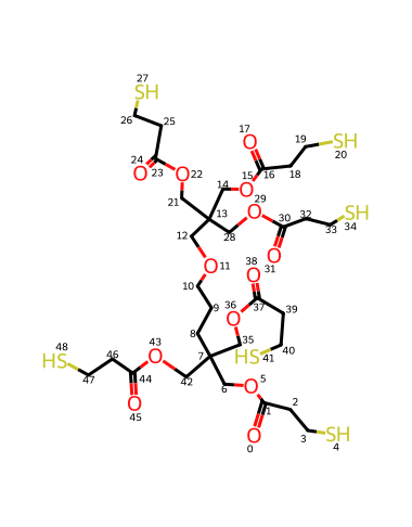 O=C(CCS)OCC(CCCOCC(COC(=O)CCS)(COC(=O)CCS)COC(=O)CCS)(COC(=O)CCS)COC(=O)CCS